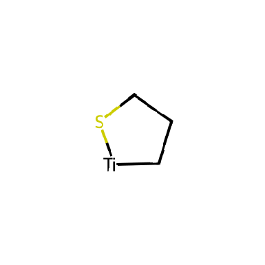 C1C[S][Ti][CH2]1